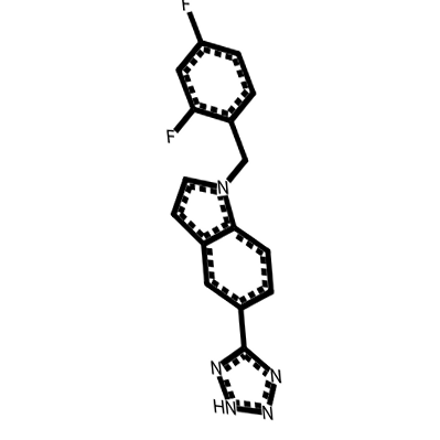 Fc1ccc(Cn2ccc3cc(-c4nn[nH]n4)ccc32)c(F)c1